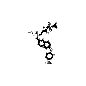 CC(C)(C)[C@H]1CC[C@H](Oc2ccc3cc(CN(CCC(=O)NS(=O)(=O)C4CC4)C(=O)O)ccc3c2)CC1